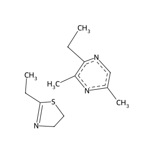 CCC1=NCCS1.CCc1ncc(C)nc1C